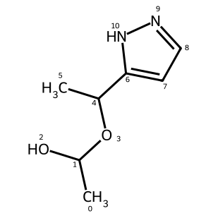 CC(O)OC(C)c1ccn[nH]1